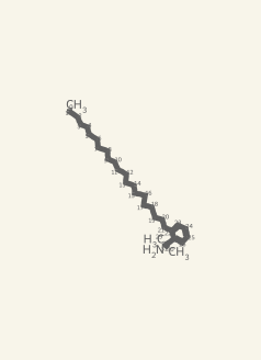 CCCCCCCCCCCCCCCCCCCCCCc1ccccc1C(C)(C)N